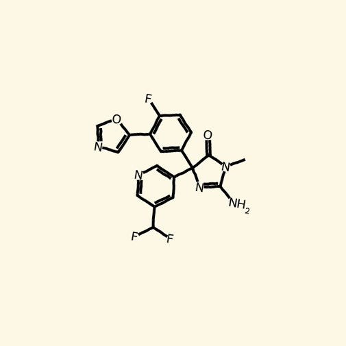 CN1C(=O)C(c2cncc(C(F)F)c2)(c2ccc(F)c(-c3cnco3)c2)N=C1N